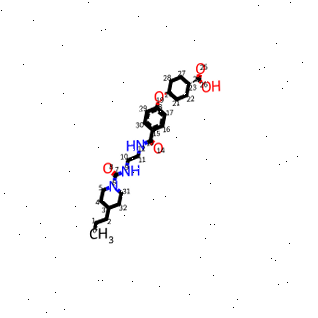 CCCC1CCN(C(=O)NCCNC(=O)c2ccc(O[C@H]3CC[C@@H](C(=O)O)CC3)cc2)CC1